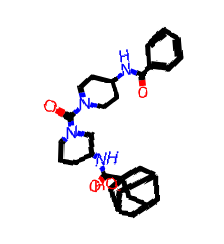 O=C(NC1CCN(C(=O)N2CCCC(NC(=O)C34CC5CC(C3)C(O)C(C5)C4)C2)CC1)c1ccccc1